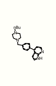 CCCCN1CCN(Cc2ccc(-c3ccnc4[nH]ccc34)cc2)CC1